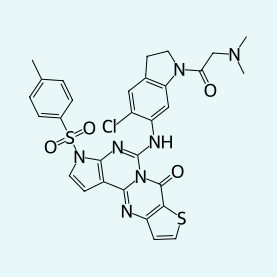 Cc1ccc(S(=O)(=O)n2ccc3c2nc(Nc2cc4c(cc2Cl)CCN4C(=O)CN(C)C)n2c(=O)c4sccc4nc32)cc1